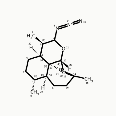 C[C@@H]1CC[C@H]2[C@@H](C)C(N=[N+]=[N-])O[C@@H]3OC4(C)CC[C@@H]1[C@]32OO4